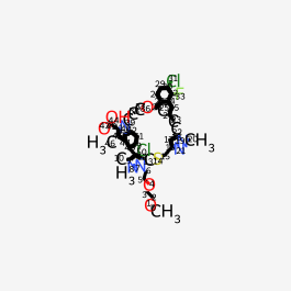 COCCOCCn1nc(C)c2c1CSCc1cc(n(C)n1)CCc1cc(c3ccc(Cl)c(F)c3c1)OCCCn1c(C(=O)O)c(C)c3c-2c(Cl)ccc31